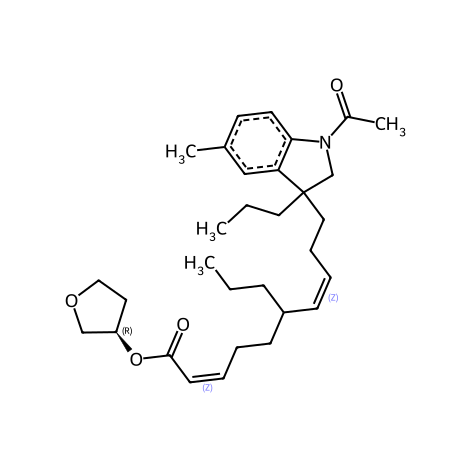 CCCC(/C=C\CCC1(CCC)CN(C(C)=O)c2ccc(C)cc21)CC/C=C\C(=O)O[C@@H]1CCOC1